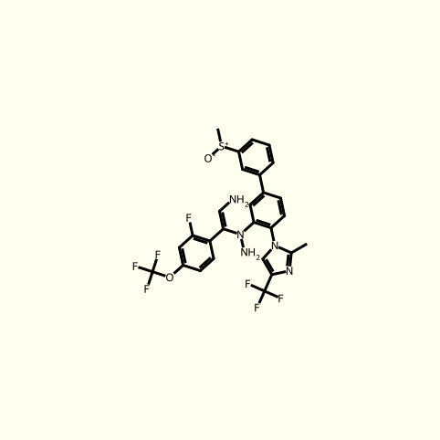 Cc1nc(C(F)(F)F)cn1-c1ccc(-c2cccc([S+](C)[O-])c2)cc1N(N)/C(=C\N)c1ccc(OC(F)(F)F)cc1F